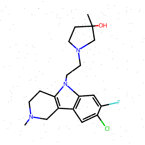 CN1CCc2c(c3cc(Cl)c(F)cc3n2CCN2CCC(C)(O)C2)C1